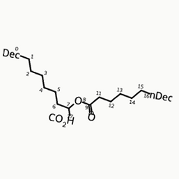 CCCCCCCCCCCCCCCCC(OC(=O)CCCCCCCCCCCCCCC)C(=O)O